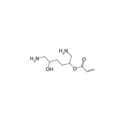 C=CC(=O)OC(CN)CCC(O)CN